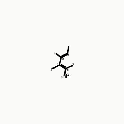 C/[C]=C(\C)C(C)=C(C)CCC